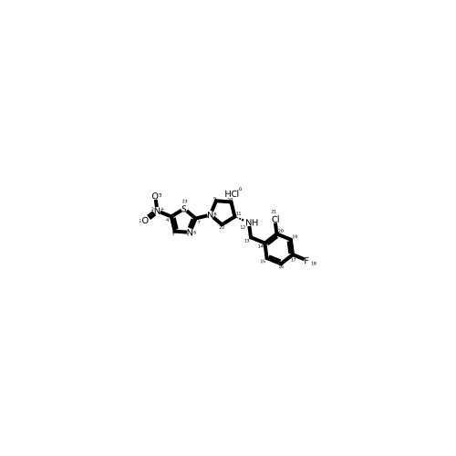 Cl.O=[N+]([O-])c1cnc(N2CC[C@H](NCc3ccc(F)cc3Cl)C2)s1